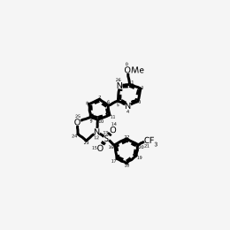 COc1ccnc(-c2ccc3c(c2)N(S(=O)(=O)c2cccc(C(F)(F)F)c2)CCO3)n1